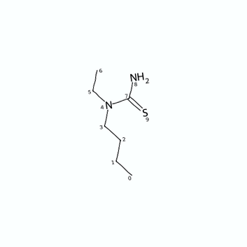 CCCCN(CC)C(N)=S